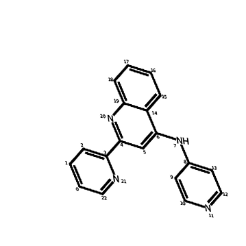 c1ccc(-c2cc(Nc3ccncc3)c3ccccc3n2)nc1